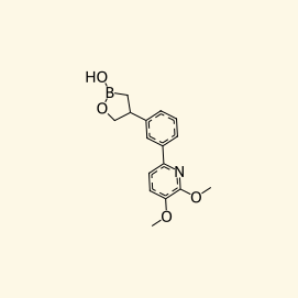 COc1ccc(-c2cccc(C3COB(O)C3)c2)nc1OC